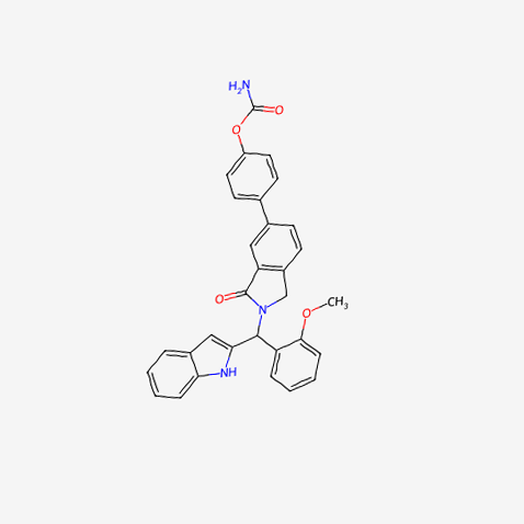 COc1ccccc1C(c1cc2ccccc2[nH]1)N1Cc2ccc(-c3ccc(OC(N)=O)cc3)cc2C1=O